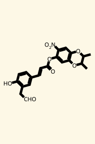 CC1Oc2cc(OC(=O)/C=C/c3ccc(O)c(CC=O)c3)c([N+](=O)[O-])cc2OC1C